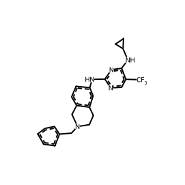 FC(F)(F)c1cnc(Nc2ccc3c(c2)CCN(Cc2ccccc2)C3)nc1NC1CC1